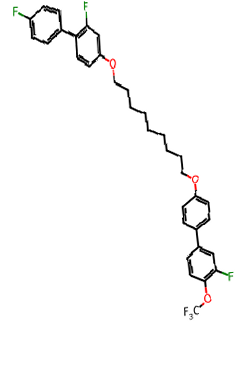 Fc1ccc(-c2ccc(OCCCCCCCCCOc3ccc(-c4ccc(OC(F)(F)F)c(F)c4)cc3)cc2F)cc1